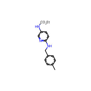 CCOC(=O)Nc1ccc(NCc2ccc(C)cc2)nc1